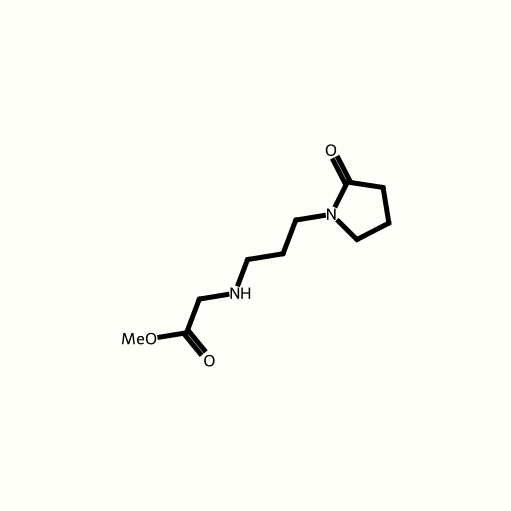 COC(=O)CNCCCN1CCCC1=O